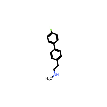 CNCCc1ccc(-c2ccc(F)cc2)cc1